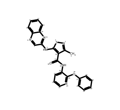 Cc1nsc(Nc2cnc3ccccc3n2)c1C(=O)Nc1cccnc1Oc1ccccc1